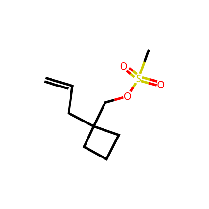 C=CCC1(COS(C)(=O)=O)CCC1